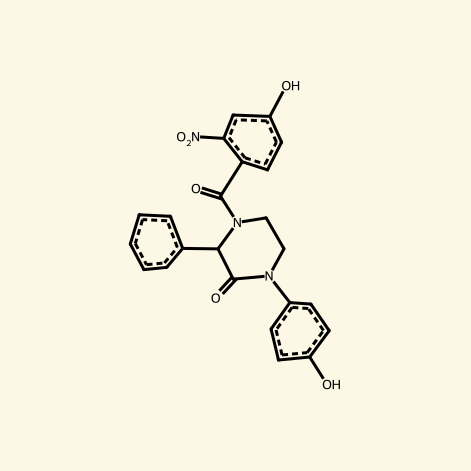 O=C1C(c2ccccc2)N(C(=O)c2ccc(O)cc2[N+](=O)[O-])CCN1c1ccc(O)cc1